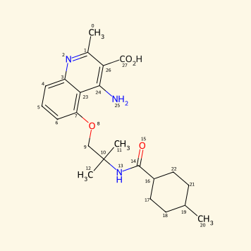 Cc1nc2cccc(OCC(C)(C)NC(=O)C3CCC(C)CC3)c2c(N)c1C(=O)O